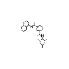 C/C(=N\c1c(C)cc(C)cc1C)c1cccc(/C(C)=N/c2cccc3ccccc23)n1